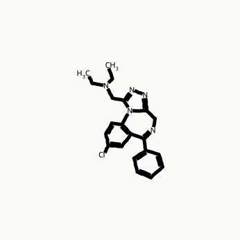 CCN(CC)Cc1nnc2n1-c1ccc(Cl)cc1C(c1ccccc1)=NC2